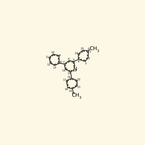 Cc1ccc(-c2cc(-c3ccccc3)cc(-c3ccc(C)cc3)n2)cc1